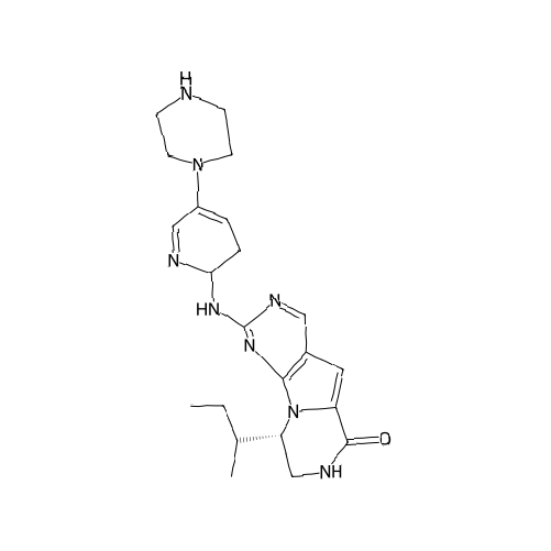 CCC(C)[C@H]1CNC(=O)c2cc3cnc(NC4CC=C(N5CCNCC5)C=N4)nc3n21